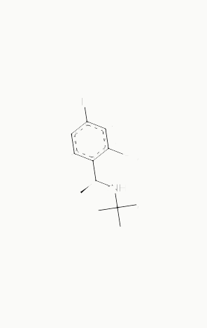 C[C@H](NC(C)(C)C)c1ccc(F)cc1F